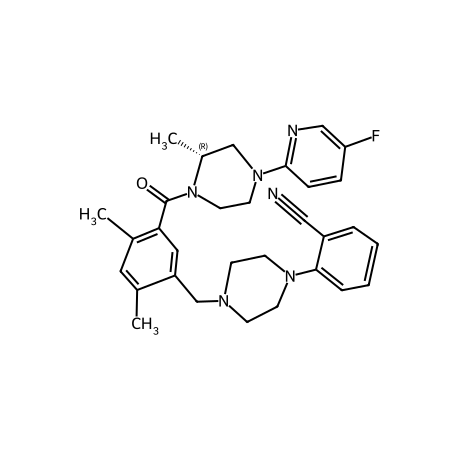 Cc1cc(C)c(C(=O)N2CCN(c3ccc(F)cn3)C[C@H]2C)cc1CN1CCN(c2ccccc2C#N)CC1